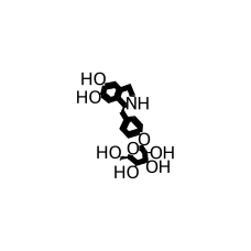 OC[C@H]1O[C@@H](Oc2ccc(C[C@@H]3NCCc4cc(O)c(O)cc43)cc2)[C@H](O)[C@@H](O)[C@@H]1O